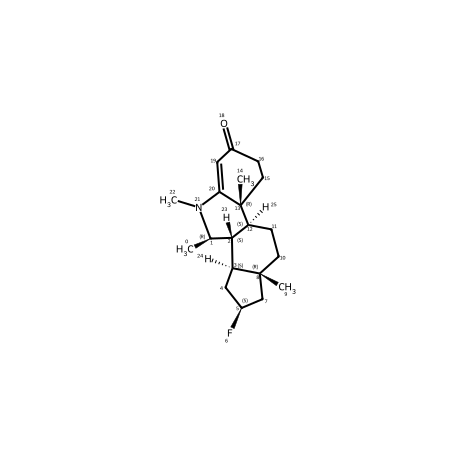 C[C@@H]1[C@H]2[C@@H]3C[C@H](F)C[C@@]3(C)CC[C@@H]2[C@@]2(C)CCC(=O)C=C2N1C